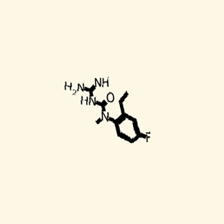 CCc1cc(F)ccc1N(C)C(=O)NC(=N)N